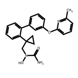 Cc1cccc(Oc2cccc(-c3ccccc3C3(CN(O)C(N)=O)CC3)c2)n1